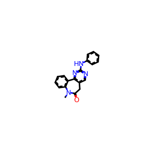 CN1C(=O)Cc2cnc(Nc3ccccc3)nc2-c2ccccc21